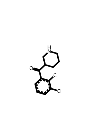 O=C(c1cccc(Cl)c1Cl)C1CCCNC1